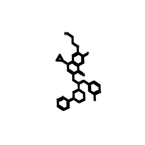 Cc1cc(CN(Cc2cn(C3CC3)c3cc(OCCO)c(F)cc3c2=O)[C@H]2CCCN(c3cccnn3)C2)ccn1